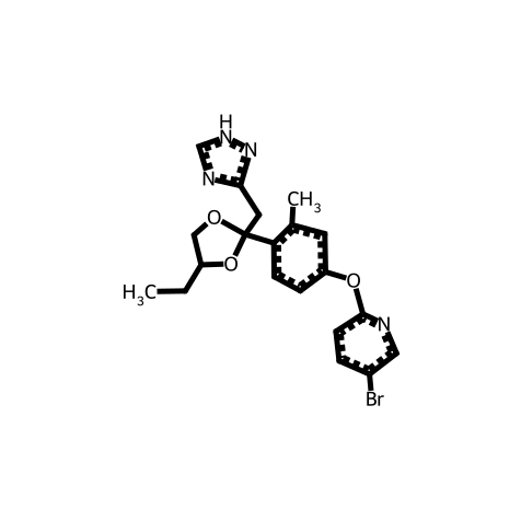 CCC1COC(Cc2nc[nH]n2)(c2ccc(Oc3ccc(Br)cn3)cc2C)O1